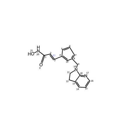 O=C(/C=C/c1cccc(CN2CCc3cccnc32)c1)NO